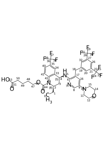 CC[C@@H]1C[C@H](Nc2ncc(N3CCOCC3)cc2Cc2cc(C(F)(F)F)cc(C(F)(F)F)c2)c2cc(C(F)(F)F)ccc2N1C(=O)OCCCCC(=O)O